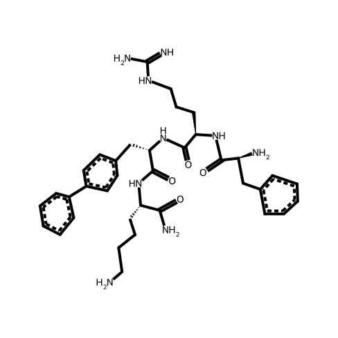 N=C(N)NCCC[C@@H](NC(=O)[C@@H](N)Cc1ccccc1)C(=O)N[C@@H](Cc1ccc(-c2ccccc2)cc1)C(=O)N[C@@H](CCCCN)C(N)=O